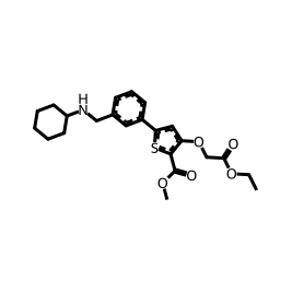 CCOC(=O)COc1cc(-c2cccc(CNC3CCCCC3)c2)sc1C(=O)OC